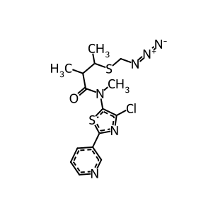 CC(SCN=[N+]=[N-])C(C)C(=O)N(C)c1sc(-c2cccnc2)nc1Cl